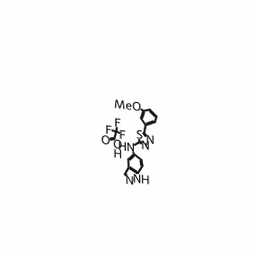 COc1cccc(-c2nnc(Nc3ccc4[nH]ncc4c3)s2)c1.O=C(O)C(F)(F)F